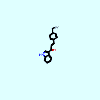 CC(C)Cc1ccc(C=CC(=O)c2c[nH]c3ccccc23)cc1